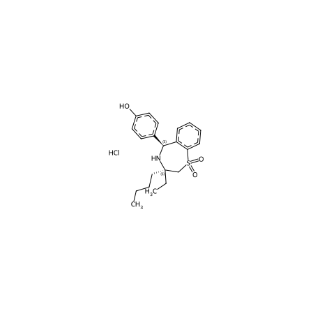 CCCC[C@@]1(CC)CS(=O)(=O)c2ccccc2[C@H](c2ccc(O)cc2)N1.Cl